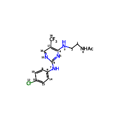 CC(=O)NCCNc1nc(Nc2ccc(Cl)cc2)ncc1C(F)(F)F